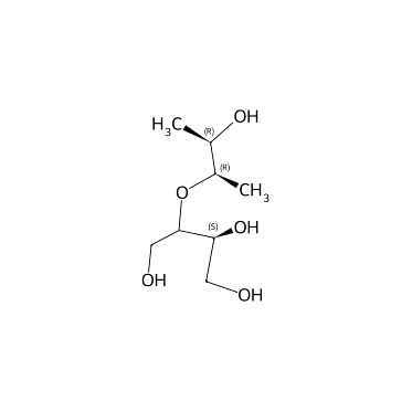 C[C@@H](O)[C@@H](C)OC(CO)[C@@H](O)CO